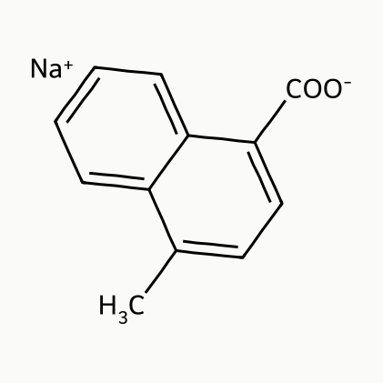 Cc1ccc(C(=O)[O-])c2ccccc12.[Na+]